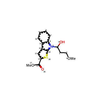 COCCC(O)n1c2ccccc2c2cc(C(=O)OC)sc21